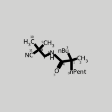 CCCCCC(C)(CCCC)C(=O)NCC(C)(C)C#N